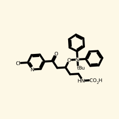 CC(C)(C)[Si](OC(CCNC(=O)O)CC(=O)c1ccc(Cl)nc1)(c1ccccc1)c1ccccc1